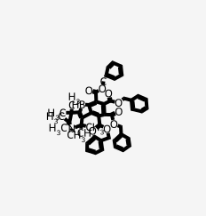 CN1C(C)(C)C2=C(Bc3c(C(=O)OCc4ccccc4)c(C(=O)OCc4ccccc4)c(C(=O)OCc4ccccc4)c(C(=O)OCc4ccccc4)c32)C(C)(C)C1(C)C